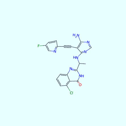 CC(Nc1ncnc(N)c1C#Cc1ccc(F)cn1)c1nc2cccc(Cl)c2c(=O)[nH]1